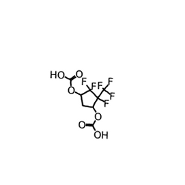 O=C(O)OC1CC(OC(=O)O)C(F)(C(F)(F)F)C1(F)F